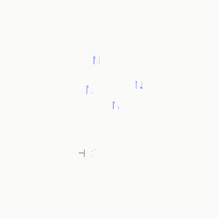 [CH2]Cn1ncnn1